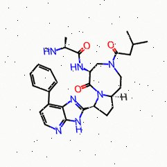 CN[C@@H](C)C(=O)N[C@H]1CN(C(=O)CC(C)C)CC[C@H]2CC[C@@H](c3nc4c(-c5ccccc5)ccnc4[nH]3)N2C1=O